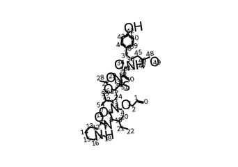 C=CCOCN(C(=O)[C@@H](NC(=O)[C@H]1CCCCN1C)C(C)CC)[C@H](C[C@@H](OC(C)=O)c1nc(C(=O)N[C@@H](Cc2ccc(O)cc2)C[C@H](C)C=O)cs1)C(C)C